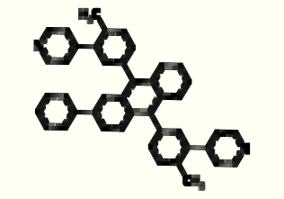 Cc1ccc(-c2c3ccccc3c(-c3ccc(C)c(-c4ccncc4)c3)c3cc(-c4ccccc4)ccc23)cc1-c1ccncc1